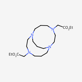 CCOC(=O)CN1CCCN2CCCN(CCCN(CC(=O)OCC)CC2)CC1